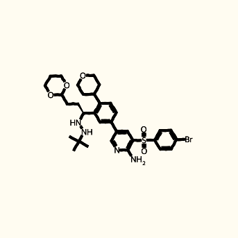 CC(C)(C)NN[C@@H](CCC1OCCCO1)c1cc(-c2cnc(N)c(S(=O)(=O)c3ccc(Br)cc3)c2)ccc1C1CCOCC1